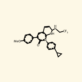 COc1ccc(-c2cc3c(n(-c4ccc(C5CC5)cc4)c2=O)NC(NCC(F)(F)F)C=C3)cc1